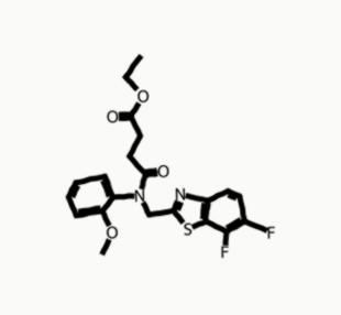 CCOC(=O)CCC(=O)N(Cc1nc2ccc(F)c(F)c2s1)c1ccccc1OC